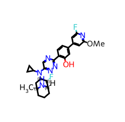 COc1cc(-c2ccc(-c3ncc(N(C4CC4)[C@H]4C[C@]5(C)CCC[C@@H](N5)[C@H]4F)nn3)c(O)c2)cc(F)n1